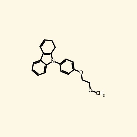 COCCOc1ccc(-n2c3c(c4ccccc42)C=CCC3)cc1